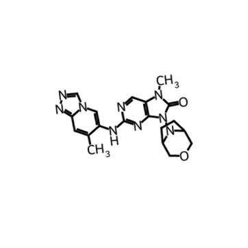 Cc1cc2nncn2cc1Nc1ncc2c(n1)n(N1C3CCC1COC3)c(=O)n2C